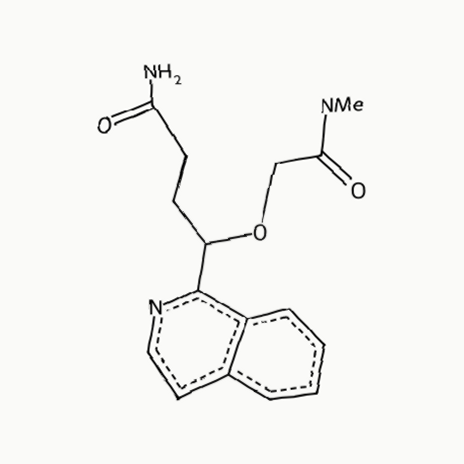 CNC(=O)COC(CCC(N)=O)c1nccc2ccccc12